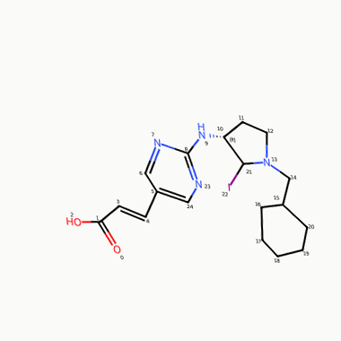 O=C(O)C=Cc1cnc(N[C@@H]2CCN(CC3CCCCC3)C2I)nc1